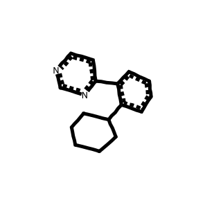 c1ccc(C2CCCCC2)c(-c2ccncn2)c1